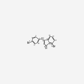 Brc1ccc(Oc2c[nH]c3c(Br)cccc23)cc1